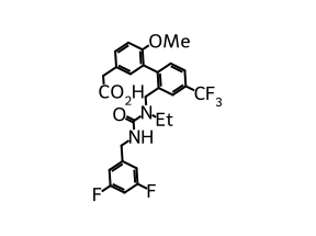 CCN(Cc1cc(C(F)(F)F)ccc1-c1cc(CC(=O)O)ccc1OC)C(=O)NCc1cc(F)cc(F)c1